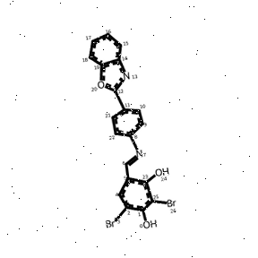 Oc1c(Br)cc(/C=N/c2ccc(-c3nc4ccccc4o3)cc2)c(O)c1Br